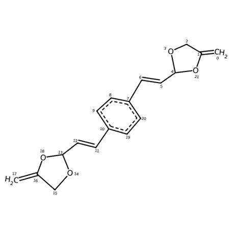 C=C1COC(C=Cc2ccc(C=CC3OCC(=C)O3)cc2)O1